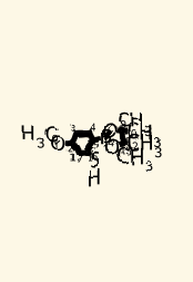 COc1ccc(B2OC(C)(C)C(C)(C)O2)c(S)c1